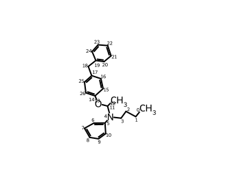 CCCCN(c1ccccc1)C(C)Oc1ccc(Cc2ccccc2)cc1